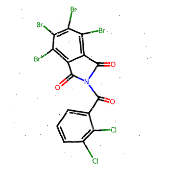 O=C(c1cccc(Cl)c1Cl)N1C(=O)c2c(Br)c(Br)c(Br)c(Br)c2C1=O